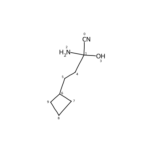 N#CC(N)(O)CCC1CCC1